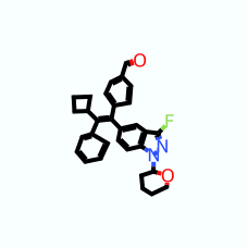 O=Cc1ccc(C(=C(c2ccccc2)C2CCC2)c2ccc3c(c2)c(F)nn3C2CCCCO2)cc1